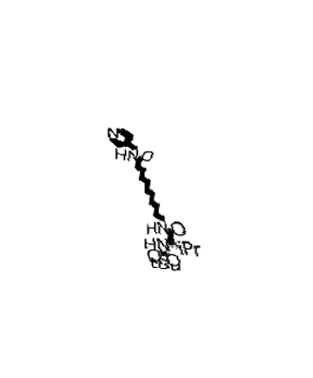 CC(C)[C@H](NC(=O)OC(C)(C)C)C(=O)NCCCCCCCCCCC(=O)NCc1ccncc1